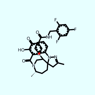 CC1=NN(c2ccccc2)C2(CC[C@H](C)N3CC2n2cc(C(=O)NCc4c(F)cc(F)cc4F)c(=O)c(O)c2C3=O)C1